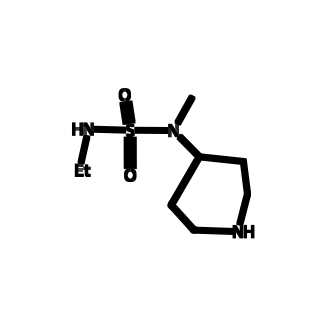 CCNS(=O)(=O)N(C)C1CCNCC1